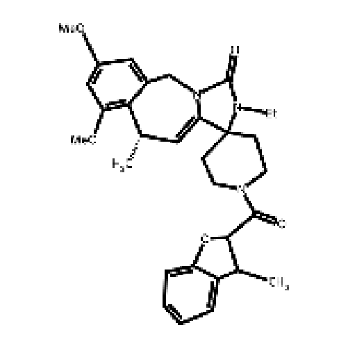 CCN1C(=O)N2Cc3cc(OC)cc(OC)c3[C@@H](C)C=C2C12CCN(C(=O)C1Oc3ccccc3C1C)CC2